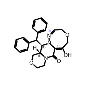 O=C1/C2=C(\O)COC/C=N\N2[C@H](C(c2ccccc2)c2ccccc2)[C@H]2COCCN12